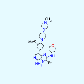 CCc1nc2c(N)ncc(-c3ccc(N4CCC(N5CCN(C)CC5)CC4)c(SC)c3)c2nc1NC1CCOCC1